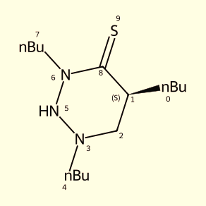 CCCC[C@H]1CN(CCCC)NN(CCCC)C1=S